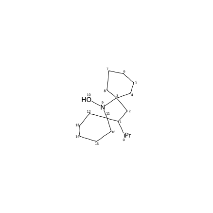 CC(C)C1CC2(CCCCC2)N(O)C12CCCCC2